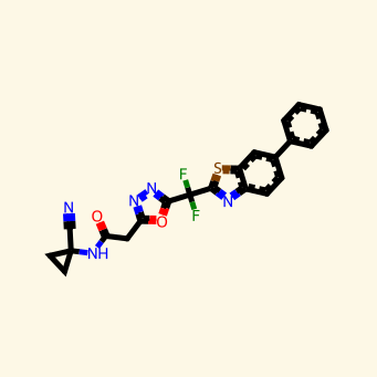 N#CC1(NC(=O)Cc2nnc(C(F)(F)c3nc4ccc(-c5ccccc5)cc4s3)o2)CC1